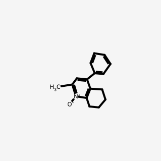 Cc1cc(-c2ccccc2)c2c([n+]1[O-])CCCC2